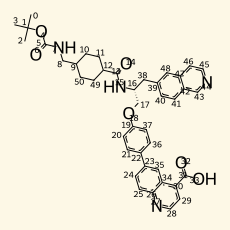 CC(C)(C)OC(=O)NCC1CCC(C(=O)N[C@@H](COc2ccc(-c3ccc4nccc(C(=O)O)c4c3)cc2)Cc2ccc3cnccc3c2)CC1